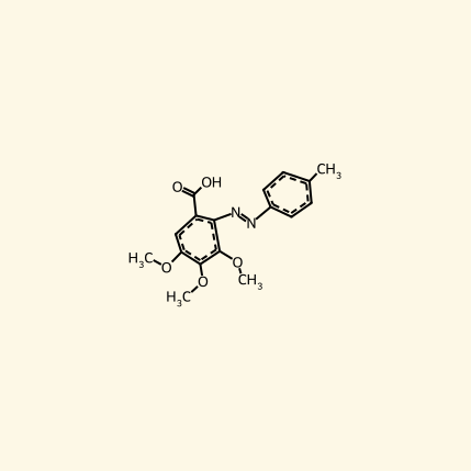 COc1cc(C(=O)O)c(/N=N/c2ccc(C)cc2)c(OC)c1OC